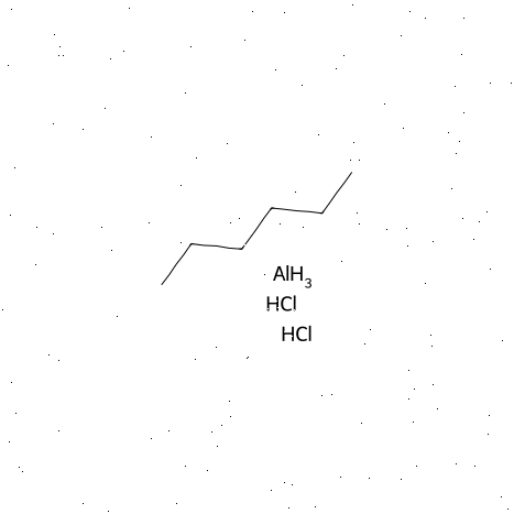 CCCCCC.Cl.Cl.[AlH3]